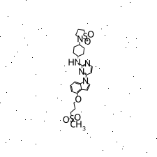 CS(=O)(=O)CCCOc1cccc2c1ccn2-c1ccnc(N[C@H]2CC[C@H](N3CCCS3(=O)=O)CC2)n1